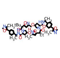 CC[C@@H](C(=O)N1C[C@H](OCc2cc([C@H](C(=O)N3C[C@H](O)C[C@H]3C(=O)N[C@@H](C)c3ccc(-c4ocnc4C)cc3)C(C)(C)C)on2)C[C@H]1C(=O)N[C@@H](C)c1ccc(-c2ocnc2C)cc1)c1cc(C)no1